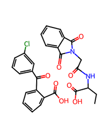 CCC(NC(=O)CN1C(=O)c2ccccc2C1=O)C(=O)O.O=C(O)c1ccccc1C(=O)c1cccc(Cl)c1